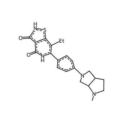 CCc1c(-c2ccc(N3CC4CCN(C)C4C3)cc2)[nH]c(=O)c2c(=O)[nH]sc12